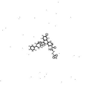 O=C(O)CCNC(=O)c1ccc(-c2cc(Cl)ccc2C(=O)NC2(Cl)C=CC(c3ccccc3)=CC2)cn1